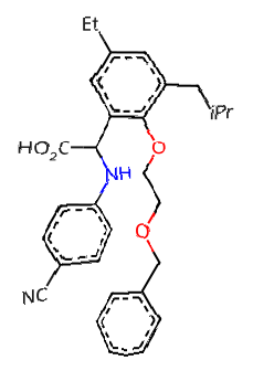 CCc1cc(CC(C)C)c(OCCOCc2ccccc2)c(C(Nc2ccc(C#N)cc2)C(=O)O)c1